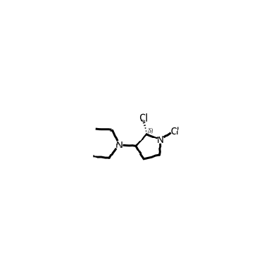 CCN(CC)C1CCN(Cl)[C@H]1Cl